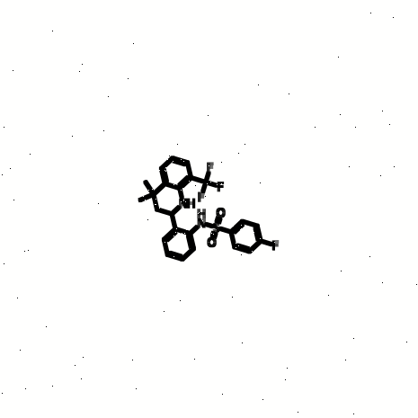 CC1(C)CC(c2ccccc2NS(=O)(=O)c2ccc(F)cc2)Nc2c(C(F)(F)F)cccc21